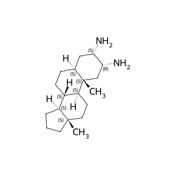 C[C@@]12CCC[C@H]1[C@@H]1CC[C@H]3C[C@H](N)[C@H](N)C[C@]3(C)[C@H]1CC2